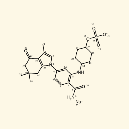 Cc1cn(-c2ccc(C(N)=O)c(NC3CCC(OS(=O)(=O)[O-])CC3)c2)c2c1C(=O)CC(C)(C)C2.[Na+]